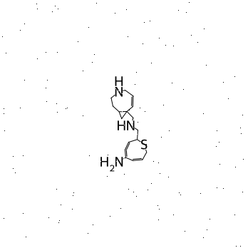 NC1=C=CC(CNCC23/C=C\CNCCC2C3)SC/C=C\1